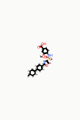 COc1cc(C(=O)O)ccc1NS(=O)(=O)c1coc(-c2ccc(C3=CCC(C)CC3)cc2)n1